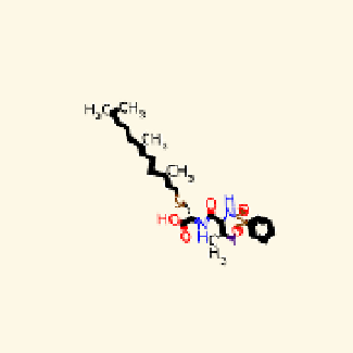 CC(C)=CCC/C(C)=C/CC/C(C)=C/CSC[C@H](NC(=O)[C@@H](NS(=O)(=O)c1ccccc1)[C@@H](C)I)C(=O)O